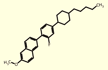 CCCCCC1CCC(c2ccc(-c3ccc4cc(OC)ccc4c3)c(F)c2)CC1